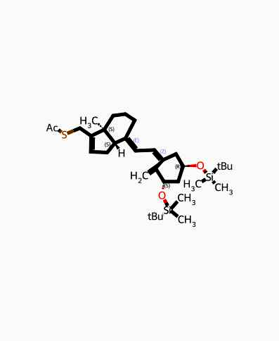 C=C1/C(=C\C=C2/CCC[C@]3(C)C(CSC(C)=O)=CC[C@@H]23)C[C@@H](O[Si](C)(C)C(C)(C)C)C[C@@H]1O[Si](C)(C)C(C)(C)C